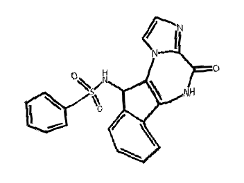 O=c1[nH]c2c(n3ccnc13)C(NS(=O)(=O)c1ccccc1)c1ccccc1-2